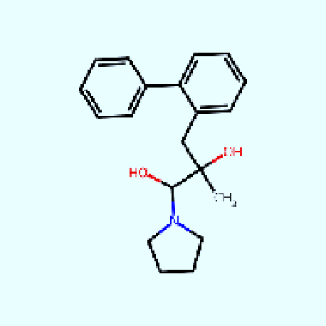 CC(O)(Cc1ccccc1-c1ccccc1)C(O)N1CCCC1